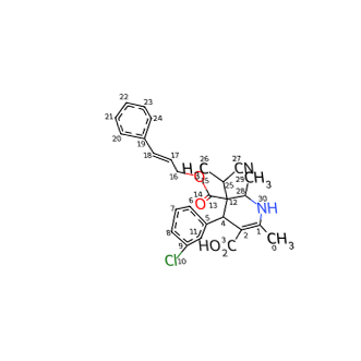 CC1=C(C(=O)O)C(c2cccc(Cl)c2)C(C(=O)OCC=Cc2ccccc2)(C(C)C#N)C(C)N1